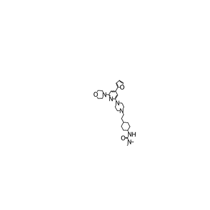 CN(C)C(=O)NC1CCC(CCN2CCN(c3cc(-c4ccco4)cc(N4CCOCC4)n3)CC2)CC1